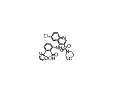 O=C(O)c1c(Nc2c(S(=O)(=O)N3CCOCC3)cnc3ccc(Cl)cc23)cccc1-c1ncco1